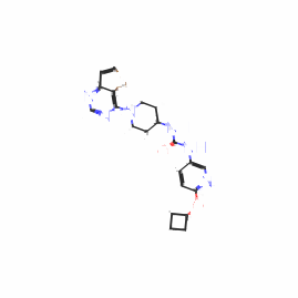 O=C(Nc1ccc(OC2CCC2)nc1)NC1CCN(c2ncnc3ccsc23)CC1